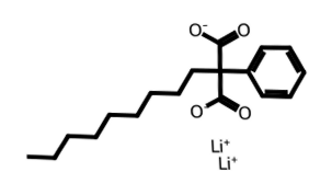 CCCCCCCCCC(C(=O)[O-])(C(=O)[O-])c1ccccc1.[Li+].[Li+]